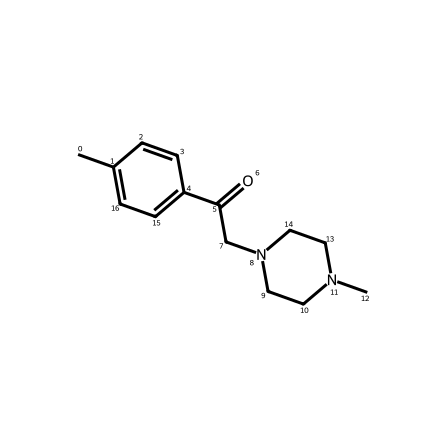 Cc1ccc(C(=O)CN2CCN(C)CC2)cc1